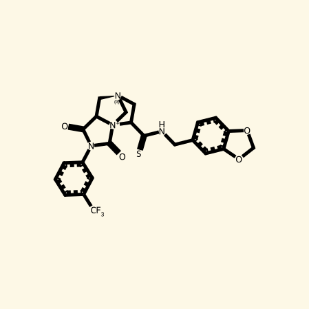 O=C1C2C[N@@]3CC(C(=S)NCc4ccc5c(c4)OCO5)[N+]2(C3)C(=O)N1c1cccc(C(F)(F)F)c1